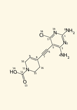 Nc1nc(N)c(C#CC2=CCN(C(=O)O)CC2)c(Cl)n1